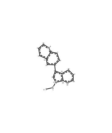 ISn1cc(-c2ccc3ncccc3c2)c2cccnc21